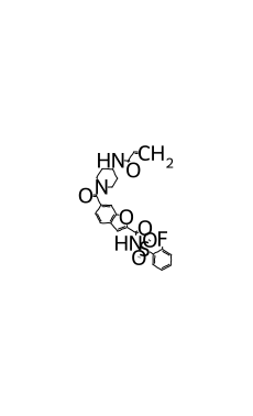 C=CC(=O)NC1CCN(C(=O)c2ccc3cc(C(=O)NS(=O)(=O)c4ccccc4F)oc3c2)CC1